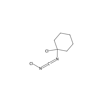 ClN=C=NC1(Cl)CCCCC1